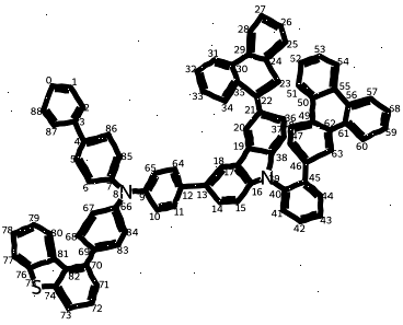 c1ccc(-c2ccc(N(c3ccc(-c4ccc5c(c4)c4cc(-c6cc7ccccc7c7ccccc67)ccc4n5-c4ccccc4-c4ccc5c6ccccc6c6ccccc6c5c4)cc3)c3ccc(-c4cccc5sc6ccccc6c45)cc3)cc2)cc1